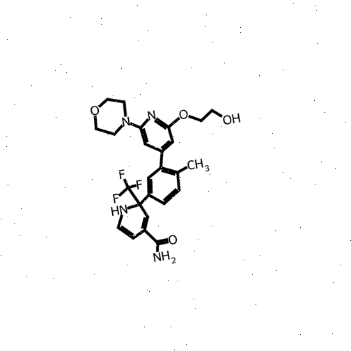 Cc1ccc(C2(C(F)(F)F)C=C(C(N)=O)C=CN2)cc1-c1cc(OCCO)nc(N2CCOCC2)c1